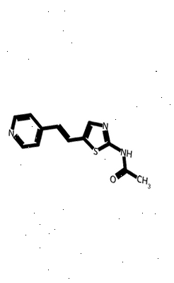 CC(=O)Nc1ncc(/C=C/c2ccncc2)s1